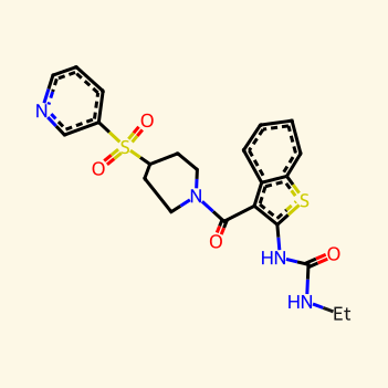 CCNC(=O)Nc1sc2ccccc2c1C(=O)N1CCC(S(=O)(=O)c2cccnc2)CC1